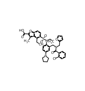 CCc1c(S(=O)(=O)N(CC)c2ccc(N3CCCC3)cc2CN(Cc2ccco2)C(=O)c2ccccc2Cl)ccc2oc(C(=O)O)c(C)c12